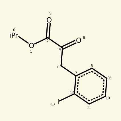 CC(C)OC(=O)C(=O)Cc1ccccc1I